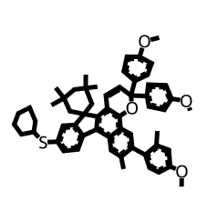 COc1ccc(C2(c3ccc(OC)cc3)C=Cc3c4c(c5cc(C)c(-c6ccc(OC)cc6C)cc5c3O2)-c2ccc(SC3CCCCC3)cc2C42CC(C)(C)CC(C)(C)C2)cc1